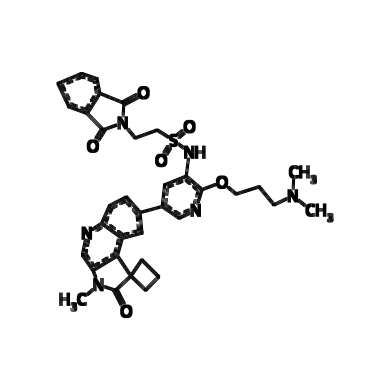 CN(C)CCCOc1ncc(-c2ccc3ncc4c(c3c2)C2(CCC2)C(=O)N4C)cc1NS(=O)(=O)CCN1C(=O)c2ccccc2C1=O